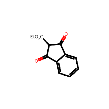 CCOC(=O)C1C(=O)c2ccccc2C1=O